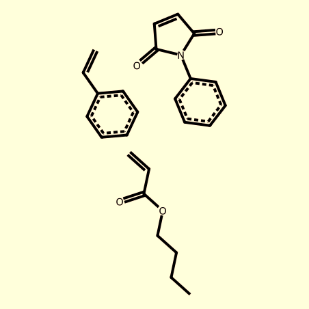 C=CC(=O)OCCCC.C=Cc1ccccc1.O=C1C=CC(=O)N1c1ccccc1